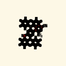 Cc1c(C)c(C)c2c(c1C)Cc1c(C)c(C)c(C)c(C)c1N2c1cc(-c2ccc(C#N)cc2C(F)(F)F)c(N2c3c(C)c(C)c(C)c(C)c3Cc3c(C)c(C)c(C)c(C)c32)cc1C#N